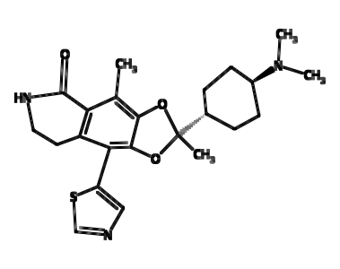 Cc1c2c(c(-c3cncs3)c3c1C(=O)NCC3)OC(C)([C@H]1CC[C@H](N(C)C)CC1)O2